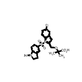 CC(=O)N1CCc2cc(S(=O)(=O)n3c(COC(C)(C)C(=O)O)cc4cc(Cl)ccc43)ccc21